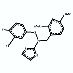 COc1ccc(CN(Sc2ccc(F)c(Cl)c2)c2nccs2)c(OC)c1